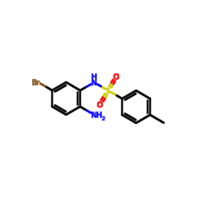 Cc1ccc(S(=O)(=O)Nc2cc(Br)ccc2N)cc1